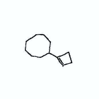 [C]1=C(C2CCCCCCC2)CC1